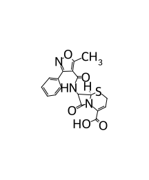 Cc1onc(-c2ccccc2)c1C(=O)NC1C(=O)N2C(C(=O)O)=CCS[C@H]12